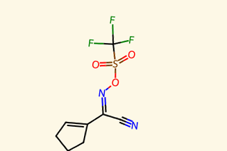 N#CC(=NOS(=O)(=O)C(F)(F)F)C1=CCCC1